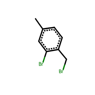 Cc1ccc(CBr)c(Br)c1